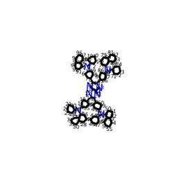 c1ccc(N(c2ccc(-c3nc4nc(-c5ccc(N(c6ccccc6)c6cccc7ccccc67)cc5)c(-c5ccc(N(c6ccccc6)c6cccc7ccccc67)cc5)nc4nc3-c3ccc(N(c4ccccc4)c4cccc5ccccc45)cc3)cc2)c2cccc3ccccc23)cc1